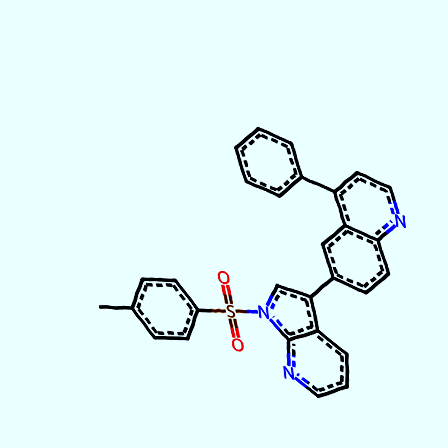 Cc1ccc(S(=O)(=O)n2cc(-c3ccc4nccc(-c5ccccc5)c4c3)c3cccnc32)cc1